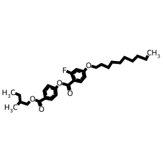 CCCCCCCCCCOc1ccc(C(=O)Oc2ccc(C(=O)OCC(C)CC)cc2)c(F)c1